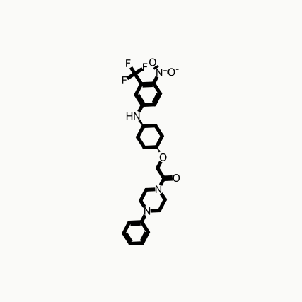 O=C(CO[C@H]1CC[C@H](Nc2ccc([N+](=O)[O-])c(C(F)(F)F)c2)CC1)N1CCN(c2ccccc2)CC1